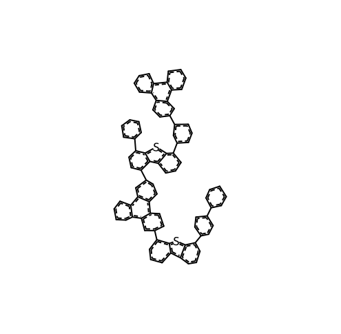 c1ccc(-c2ccc(-c3cccc4c3sc3c(-c5ccc6c7ccc(-c8ccc(-c9ccccc9)c9sc%10c(-c%11cccc(-c%12ccc%13c%14ccccc%14c%14ccccc%14c%13c%12)c%11)cccc%10c89)cc7c7ccccc7c6c5)cccc34)cc2)cc1